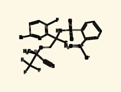 CC(CO[C@](C)(C#N)C(F)(F)F)(NS(=O)(=O)c1ccccc1[N+](=O)[O-])c1nc(Br)ccc1F